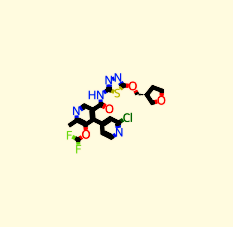 Cc1ncc(C(=O)Nc2nnc(OC[C@@H]3CCOC3)s2)c(-c2ccnc(Cl)c2)c1OC(F)F